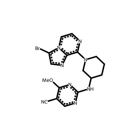 COc1nc(NC2CCCN(c3nccn4c(Br)cnc34)C2)ncc1C#N